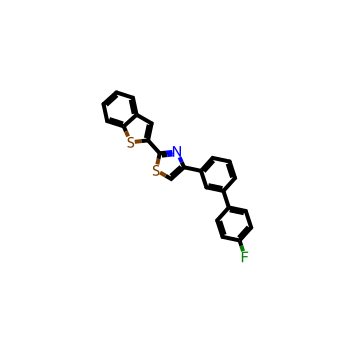 Fc1ccc(-c2cccc(-c3csc(-c4cc5ccccc5s4)n3)c2)cc1